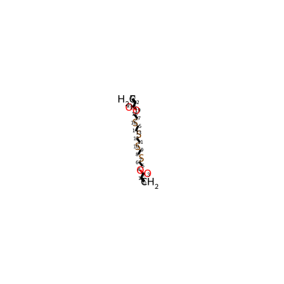 C=CC(=O)OCCSCCSCCSCCSCCOC(=O)C=C